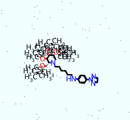 CC(C)(C)[Si](C)(C)OC[C@@H]1C(O[Si](C)(C)C(C)(C)C)C(O[Si](C)(C)C(C)(C)C)C(O[Si](C)(C)C(C)(C)C)CN1CCCCCCNc1ccc(-n2nccn2)cc1